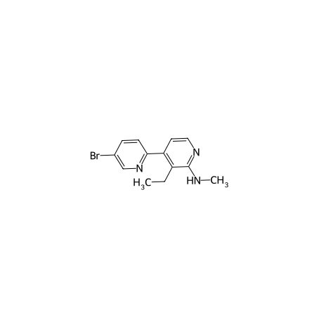 CCc1c(-c2ccc(Br)cn2)ccnc1NC